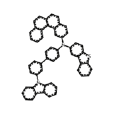 c1cc(-c2ccc(N(c3ccc4sc5ccccc5c4c3)c3ccc4ccc5ccc6ccccc6c5c4c3)cc2)cc(-n2c3ccccc3c3ccccc32)c1